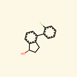 O[C@@H]1CCc2c(-c3ccccc3F)cccc21